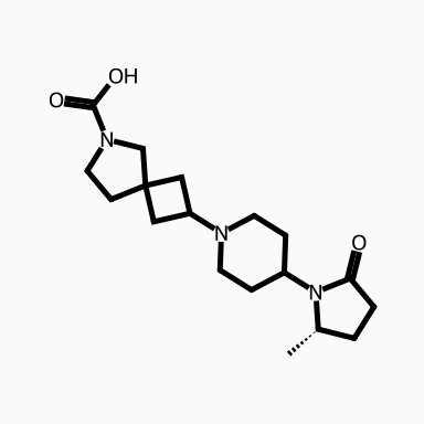 C[C@H]1CCC(=O)N1C1CCN(C2CC3(CCN(C(=O)O)C3)C2)CC1